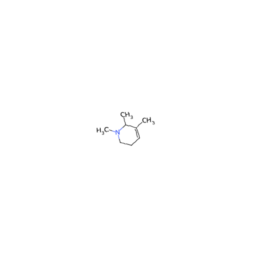 CC1=CCCN(C)C1C